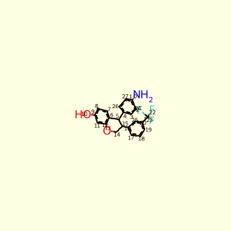 Nc1ccc(C2c3ccc(O)cc3OCC2c2cccc(C(F)(F)F)c2)cc1